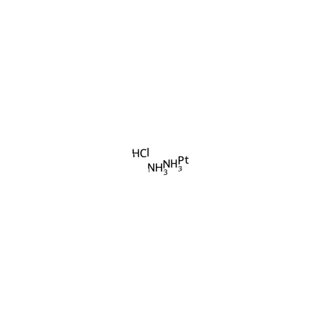 Cl.N.N.[Pt]